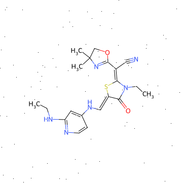 CCNc1cc(NC=c2sc(=C(C#N)C3=NC(C)(C)CO3)n(CC)c2=O)ccn1